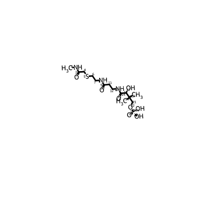 CNC(=O)CSCCNC(=O)CCNC(=O)[C@@H](O)C(C)(C)COP(=O)(O)O